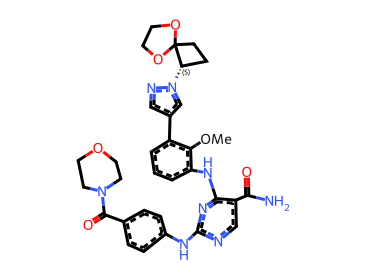 COc1c(Nc2nc(Nc3ccc(C(=O)N4CCOCC4)cc3)ncc2C(N)=O)cccc1-c1cnn([C@H]2CCC23OCCO3)c1